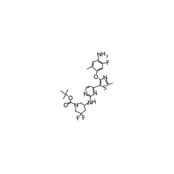 Cc1nc(Oc2cc(F)c(N)cc2C)c(-c2ccnc(N[C@@H]3CN(C(=O)OC(C)(C)C)CC(F)(F)C3)n2)s1